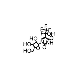 O=c1[nH]c(=O)n([C@H]2O[C@@H](CO)C(O)C2O)cc1C(O)(F)C(F)(F)F